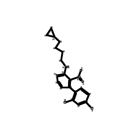 O=[N+]([O-])c1c(-c2ccc(Cl)cc2Cl)ccnc1NCCCCC1CC1